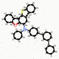 c1ccc(-c2cccc(-c3ccc(N(c4ccccc4)c4cc5c6ccccc6sc5c5c4oc4ccccc45)cc3)c2)cc1